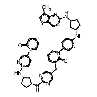 Cc1csc2cnc(N[C@H]3CC[C@H](Nc4ccc(-n5cccc(Cc6cnc(N[C@H]7CC[C@H](Nc8ccc(-n9ccccc9=O)cn8)C7)nc6)c5=O)cn4)C3)nc12